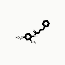 Cc1cc(C(=O)O)ccc1NC(=O)CCCc1ccccc1